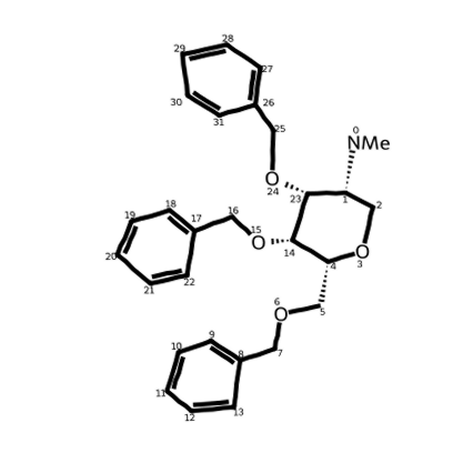 CN[C@@H]1CO[C@H](COCc2ccccc2)[C@H](OCc2ccccc2)[C@@H]1OCc1ccccc1